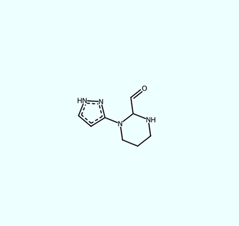 O=CC1NCCCN1c1cc[nH]n1